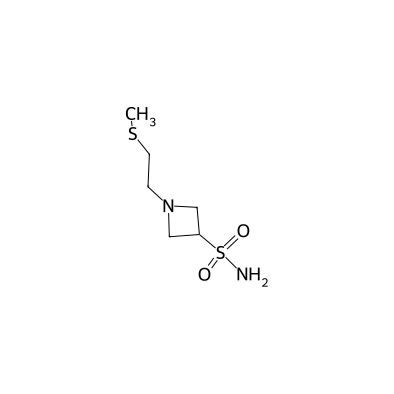 CSCCN1CC(S(N)(=O)=O)C1